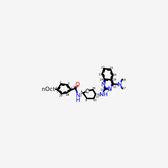 CCCCCCCCc1ccc(C(=O)N[C@H]2CC[C@@H](Nc3nc(N(C)C)c4ccccc4n3)CC2)cc1